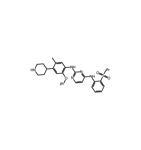 Cc1cc(Nc2nccc(Nc3ccccc3S(=O)(=O)C(C)C)n2)c(OC(C)C)cc1C1CCNCC1